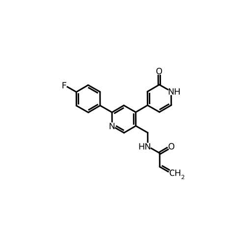 C=CC(=O)NCc1cnc(-c2ccc(F)cc2)cc1-c1cc[nH]c(=O)c1